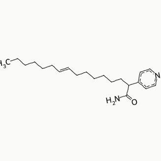 CCCCCCC=CCCCCCCC(C(N)=O)c1ccncc1